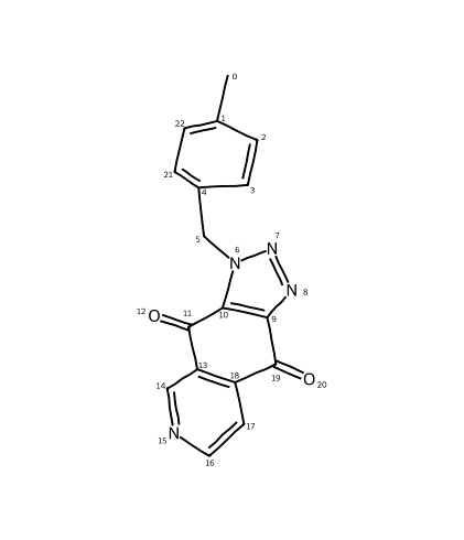 Cc1ccc(Cn2nnc3c2C(=O)c2cnccc2C3=O)cc1